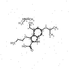 CCCOc1c(C(=O)O)[nH]c2cc(OC(C)C)cc(CC)c12.CNC